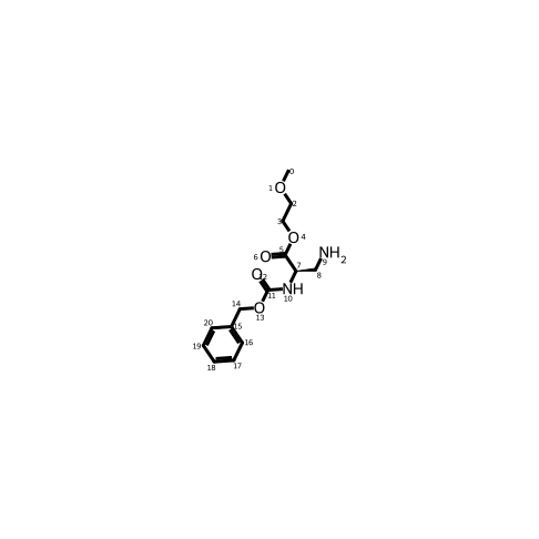 COCCOC(=O)[C@@H](CN)NC(=O)OCc1ccccc1